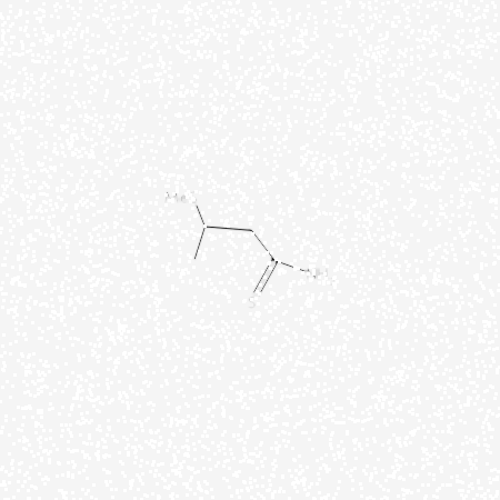 CSC(C)CC(N)=S